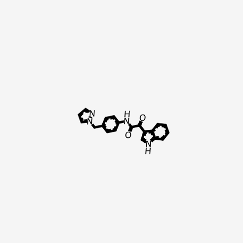 O=C(Nc1ccc(Cn2cccn2)cc1)C(=O)c1c[nH]c2ccccc12